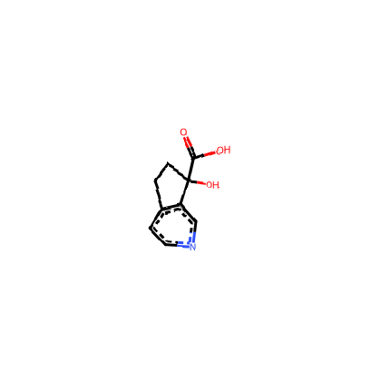 O=C(O)C1(O)CCc2ccncc21